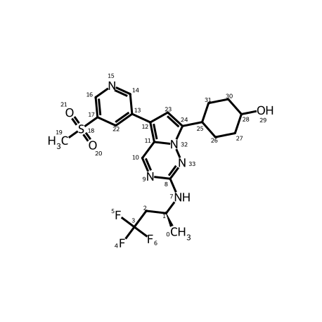 C[C@@H](CC(F)(F)F)Nc1ncc2c(-c3cncc(S(C)(=O)=O)c3)cc(C3CCC(O)CC3)n2n1